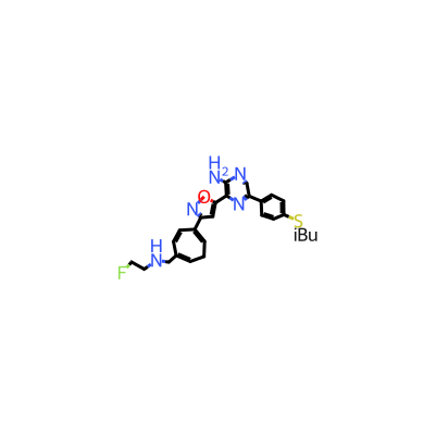 CCC(C)Sc1ccc(-c2cnc(N)c(-c3cc(C4=CCC=C(CNCCF)C=C4)no3)n2)cc1